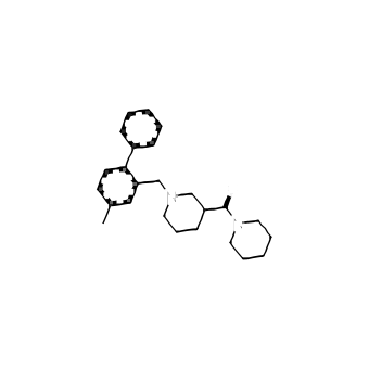 Cc1ccc(-c2ccccc2)c(CN2CCCC(C(=O)N3CCCCC3)C2)c1